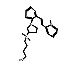 C[n+]1ccccc1/C=C/c1ccccc1N1CCC([N+](C)(C)CCCCS)C1